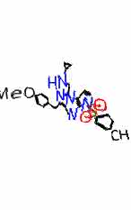 COc1ccc(Cc2nc(CNC3CC3)n3c2cnc2c3ccn2S(=O)(=O)c2ccc(C)cc2)cc1